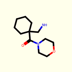 [NH]CC1(C(=O)N2CCOCC2)CCCCC1